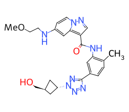 COCCNc1ccn2ncc(C(=O)Nc3cc(-c4nnn([C@H]5C[C@H](CO)C5)n4)ccc3C)c2c1